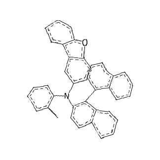 Cc1ccccc1N(c1ccc2oc3ccccc3c2c1)c1ccc2ccccc2c1-c1cccc2ccccc12